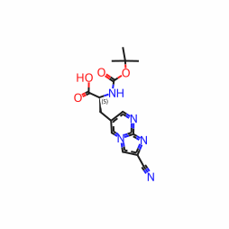 CC(C)(C)OC(=O)N[C@@H](Cc1cnc2nc(C#N)cn2c1)C(=O)O